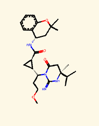 COCCC([C@@H]1C[C@H]1C(=O)N[C@H]1CC(C)(C)Oc2ccccc21)N1C(=N)N[C@](C)(C(C)C)CC1=O